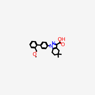 COCc1ccccc1-c1ccc(-n2nc(C(=O)O)c3c2CCC(C)(C)C3)cc1